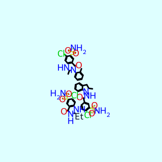 CC1Cc2ccccc2N1NC(=O)c1ccc(Cl)c(S(N)(=O)=O)c1.CCC1NC(=O)c2cc(S(N)(=O)=O)c(Cl)cc2N1.Cc1ccccc1N1C(=O)c2cc(S(N)(=O)=O)c(Cl)cc2NC1C